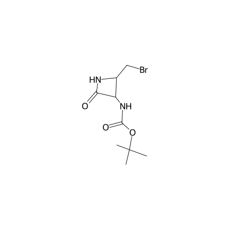 CC(C)(C)OC(=O)NC1C(=O)NC1CBr